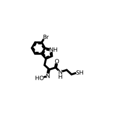 O=C(NCCS)/C(Cc1c[nH]c2c(Br)cccc12)=N/O